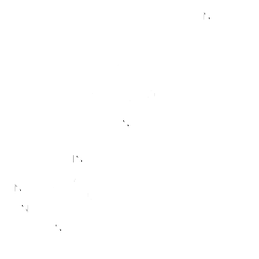 Cc1ccc(C#Cc2cccc3cc(C(C)NC(=O)c4c(C)nn5cccnc45)n(-c4ccccc4)c(=O)c23)cn1